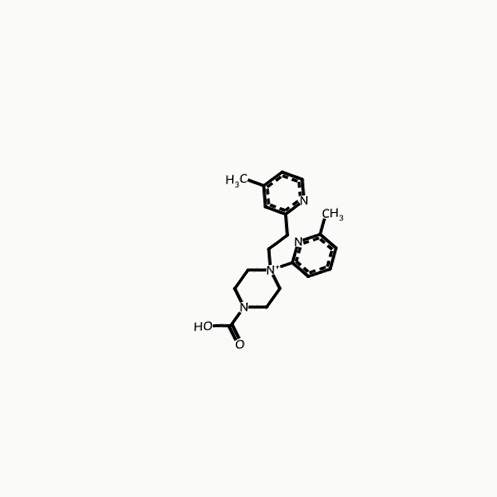 Cc1ccnc(CC[N+]2(c3cccc(C)n3)CCN(C(=O)O)CC2)c1